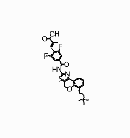 C/C(=C\c1c(F)cc(C(=O)Nc2nc3c(s2)COc2c(CCC(C)(C)C)cccc2-3)cc1F)C(=O)O